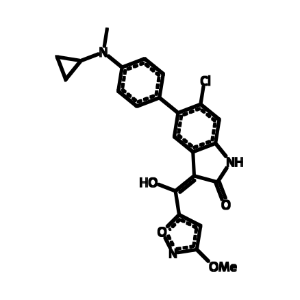 COc1cc(C(O)=C2C(=O)Nc3cc(Cl)c(-c4ccc(N(C)C5CC5)cc4)cc32)on1